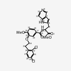 COC(=O)C(Cc1cc2cnccc2[nH]1)NC(=O)c1ccc(OC)c(OCCc2ccc(Cl)cc2Cl)c1